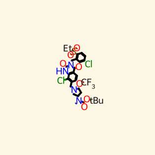 CCS(=O)(=O)c1ccc(Cl)cc1Cn1c(=O)[nH]c2c(Cl)c(CN3CCC(N(C)C(=O)OC(C)(C)C)C3)c(OC(F)(F)F)cc2c1=O